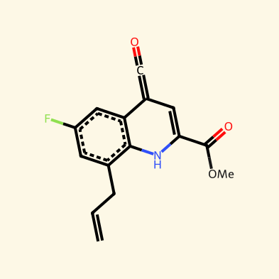 C=CCc1cc(F)cc2c1NC(C(=O)OC)=CC2=C=O